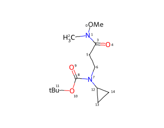 CON(C)C(=O)CCN(C(=O)OC(C)(C)C)C1CC1